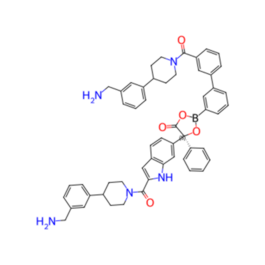 NCc1cccc(C2CCN(C(=O)c3cccc(-c4cccc(B5OC(=O)[C@](c6ccccc6)(c6ccc7cc(C(=O)N8CCC(c9cccc(CN)c9)CC8)[nH]c7c6)O5)c4)c3)CC2)c1